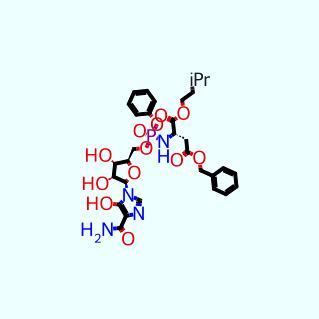 CC(C)CCOC(=O)[C@H](CC(=O)OCc1ccccc1)NP(=O)(OC[C@H]1O[C@@H](n2cnc(C(N)=O)c2O)[C@H](O)[C@@H]1O)Oc1ccccc1